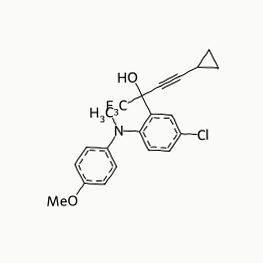 COc1ccc(N(C)c2ccc(Cl)cc2C(O)(C#CC2CC2)C(F)(F)F)cc1